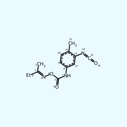 CC/C(C)=N/OC(=O)Nc1ccc(C)c(N=C=O)c1